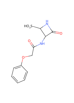 O=C(COc1ccccc1)NC1C(=O)NC1S(=O)(=O)O